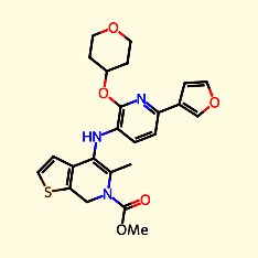 COC(=O)N1Cc2sccc2C(Nc2ccc(-c3ccoc3)nc2OC2CCOCC2)=C1C